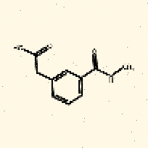 CNC(=O)c1cccc(CC(=O)O)c1